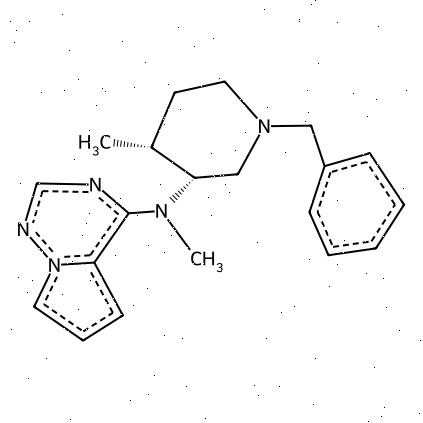 C[C@@H]1CCN(Cc2ccccc2)C[C@@H]1N(C)c1ncnn2cccc12